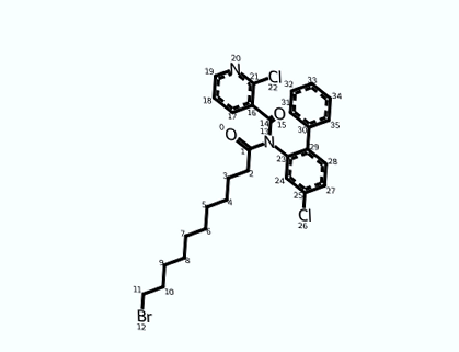 O=C(CCCCCCCCCCBr)N(C(=O)c1cccnc1Cl)c1cc(Cl)ccc1-c1ccccc1